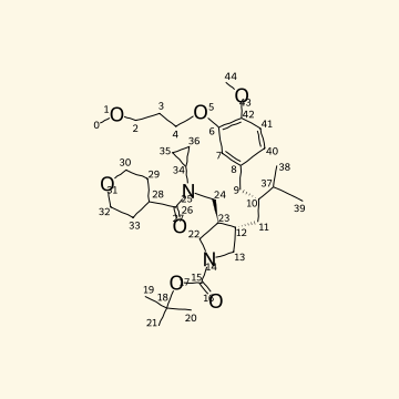 COCCCOc1cc(C[C@@H](C[C@@H]2CN(C(=O)OC(C)(C)C)C[C@H]2CN(C(=O)C2CCOCC2)C2CC2)C(C)C)ccc1OC